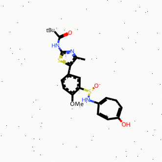 COc1ccc(-c2sc(NC(=O)C(C)(C)C)nc2C)cc1[S+]([O-])NC1=CCC=C(O)C=C1